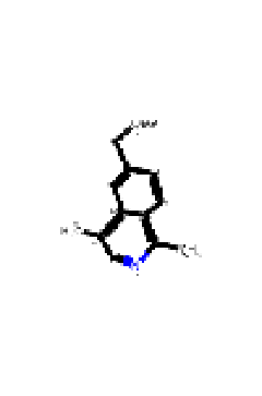 COCc1ccc2c(C)ncc(C)c2c1